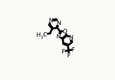 CCc1cncnc1-c1nc2cc(C(F)(F)F)cnc2o1